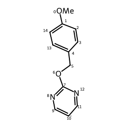 COc1ccc(COc2nc[c]cn2)cc1